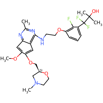 COc1cc2nc(C)nc(NCCOc3cccc(C(F)(F)C(C)(C)O)c3F)c2cc1OC[C@@H]1CN(C)CCO1